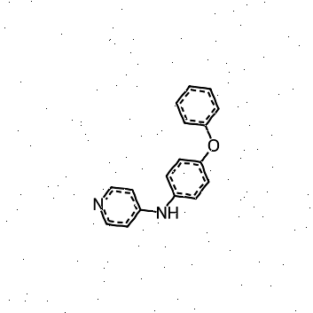 c1ccc(Oc2ccc(Nc3ccncc3)cc2)cc1